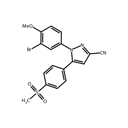 COc1ccc(-n2nc(C#N)cc2-c2ccc(S(C)(=O)=O)cc2)cc1Br